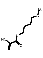 C=C(C#N)C(=O)OCCCCOCC